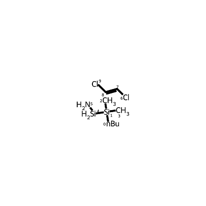 CCCC[Si](C)(C)[SiH2]N.ClC=CCl